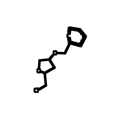 ClCC1CC(OCc2ccccc2)CO1